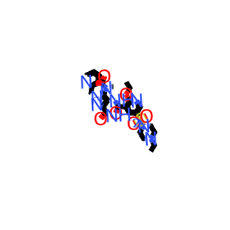 CCOc1ncc(S(=O)(=O)N2CCN(CC)CC2)cc1C(=O)Nc1c(C(N)=O)nn(Cc2ccccn2)c1N(C)C=O